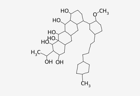 COC1CCC(CCCCC2CCC(C)CC2)CC1C1CCC(O)C2C(O)C3C(CC12)CC1CC(O)C(C(C)O)C(O)C1(O)C3O